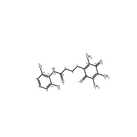 CC1=C(C)C(=O)C(CCCC(=O)Nc2c(Cl)cccc2Cl)=C(C)C1=O